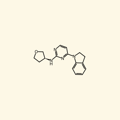 c1ccc2c(c1)CCN2c1ccnc(N[C@H]2CCOC2)n1